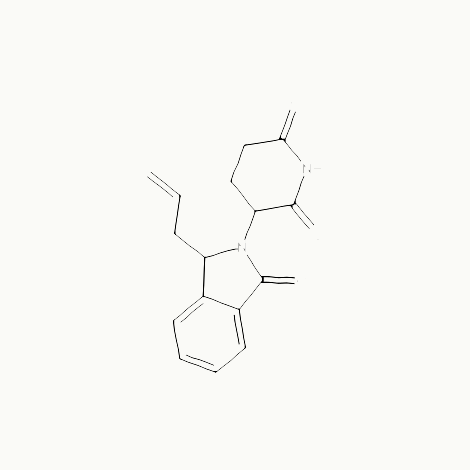 C=CCC1c2ccccc2C(=O)N1C1CCC(=O)NC1=O